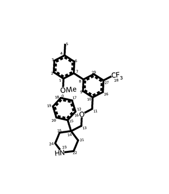 COc1ccc(C)cc1-c1cc(COCC2(c3ccccc3)CCNCC2)cc(C(F)(F)F)c1